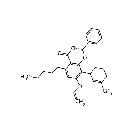 C=COc1cc(CCCCC)c2c(c1C1C=C(C)CCC1)OC(c1ccccc1)OC2=O